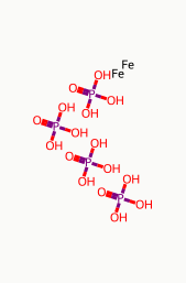 O=P(O)(O)O.O=P(O)(O)O.O=P(O)(O)O.O=P(O)(O)O.[Fe].[Fe]